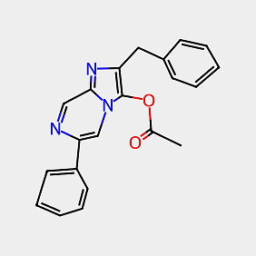 CC(=O)Oc1c(Cc2ccccc2)nc2cnc(-c3ccccc3)cn12